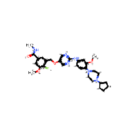 CNC(=O)c1cc(COc2cnc(Nc3ccc(N4CCN(C5CCCC5)CC4)c(OC)c3)nc2)c(F)c(OC)c1